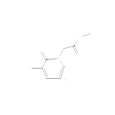 COC(=O)Cn1cccc(N)c1=O.Cl